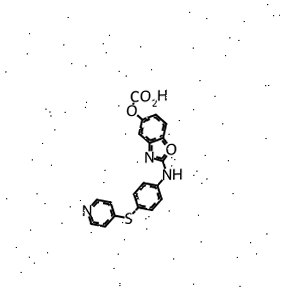 O=C(O)Oc1ccc2oc(Nc3ccc(Sc4ccncc4)cc3)nc2c1